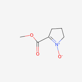 COC(=O)C1=[N+]([O-])CCC1